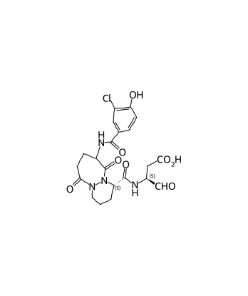 O=C[C@H](CC(=O)O)NC(=O)[C@@H]1CCCN2C(=O)CCC(NC(=O)c3ccc(O)c(Cl)c3)C(=O)N12